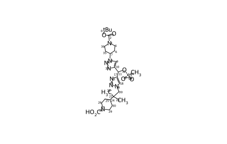 CC(C)(C)OC(=O)N1CCC(n2cc(C(OS(C)(=O)=O)c3cn(CC(C)(C)C4CCN(C(=O)O)CC4)nn3)nn2)CC1